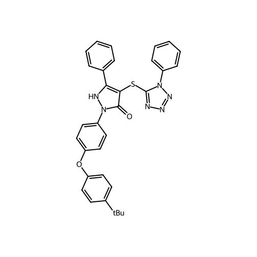 CC(C)(C)c1ccc(Oc2ccc(-n3[nH]c(-c4ccccc4)c(Sc4nnnn4-c4ccccc4)c3=O)cc2)cc1